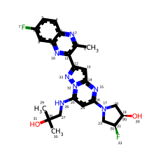 Cc1nc2ccc(F)cc2nc1-c1cc2nc(N3C[C@@H](O)[C@@H](F)C3)cc(NCC(C)(C)O)n2n1